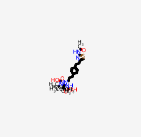 CC(=O)Nc1nc(CCc2ccc(CCCNC(NC(=O)O)(N(C(=O)O)C(C)(C)C)C(C)(C)C)cc2)cs1